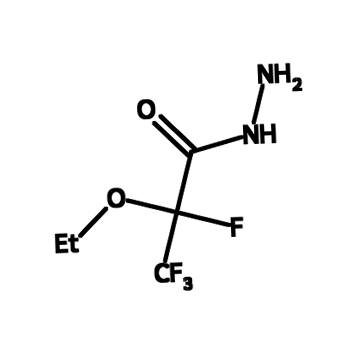 CCOC(F)(C(=O)NN)C(F)(F)F